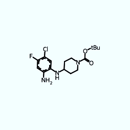 CC(C)(C)OC(=O)N1CCC(Nc2cc(Cl)c(F)cc2N)CC1